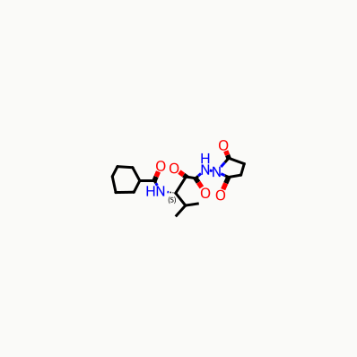 CC(C)[C@H](NC(=O)C1CCCCC1)C(=O)C(=O)NN1C(=O)CCC1=O